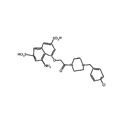 Nc1cc(S(=O)(=O)O)cc2cc(S(=O)(=O)O)cc(OCC(=O)N3CCN(Cc4ccc(Cl)cc4)CC3)c12